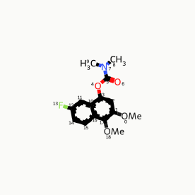 COc1cc(OC(=O)N(C)C)c2cc(F)ccc2c1OC